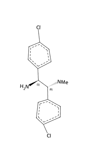 CN[C@H](c1ccc(Cl)cc1)[C@@H](N)c1ccc(Cl)cc1